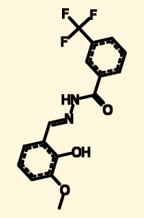 COc1cccc(C=NNC(=O)c2cccc(C(F)(F)F)c2)c1O